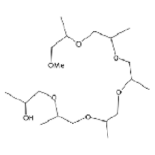 COCC(C)OCC(C)OCC(C)OCC(C)OCC(C)OCC(C)O